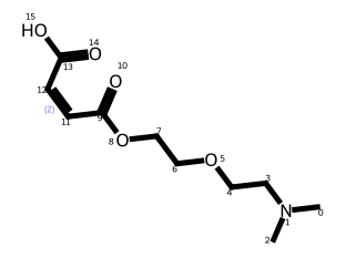 CN(C)CCOCCOC(=O)/C=C\C(=O)O